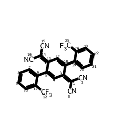 N#CC(C#N)=c1cc(-c2ccccc2C(F)(F)F)c(=C(C#N)C#N)cc1-c1ccccc1C(F)(F)F